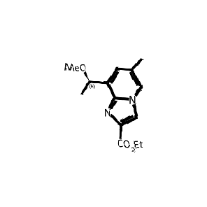 CCOC(=O)c1cn2cc(C)cc([C@@H](C)OC)c2n1